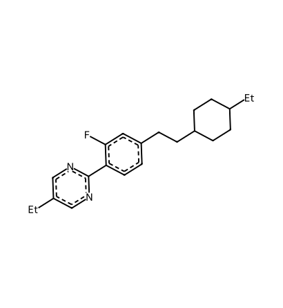 CCc1cnc(-c2ccc(CCC3CCC(CC)CC3)cc2F)nc1